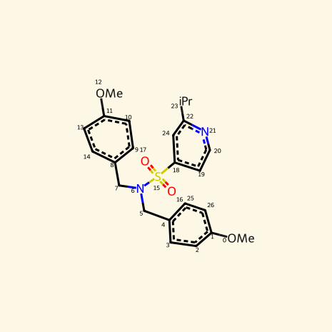 COc1ccc(CN(Cc2ccc(OC)cc2)S(=O)(=O)c2ccnc(C(C)C)c2)cc1